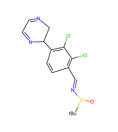 CC(C)(C)[S+]([O-])/N=C/c1ccc(C2CN=CC=N2)c(Cl)c1Cl